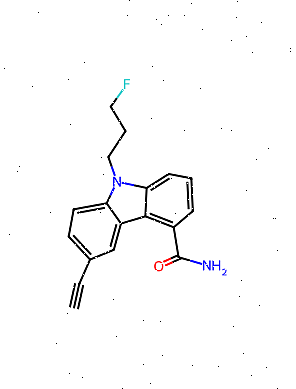 C#Cc1ccc2c(c1)c1c(C(N)=O)cccc1n2CCCF